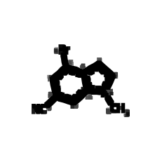 Cn1ccc2c(Br)cc(C#N)cc21